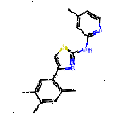 Cc1ccnc(Nc2nc(-c3cc(C)c(C)cc3C)cs2)c1